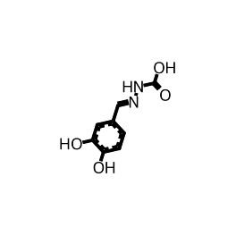 O=C(O)NN=Cc1ccc(O)c(O)c1